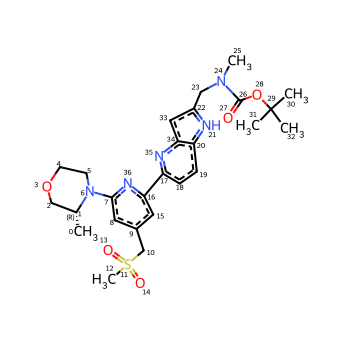 C[C@@H]1COCCN1c1cc(CS(C)(=O)=O)cc(-c2ccc3[nH]c(CN(C)C(=O)OC(C)(C)C)cc3n2)n1